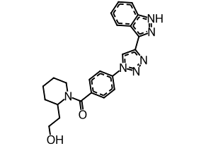 O=C(c1ccc(-n2cc(-c3n[nH]c4ccccc34)nn2)cc1)N1CCCCC1CCO